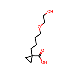 O=C(O)C1(CCCCOCCO)CC1